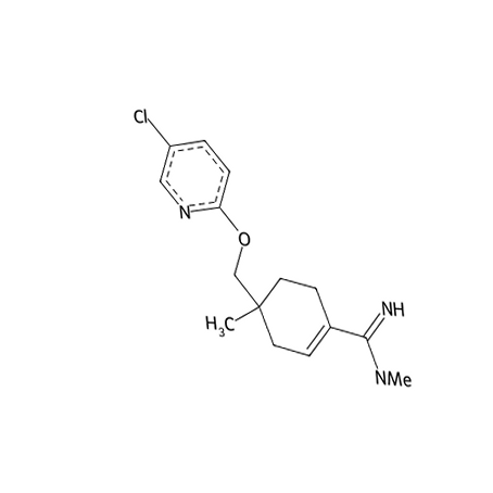 CNC(=N)C1=CCC(C)(COc2ccc(Cl)cn2)CC1